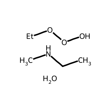 CCNC.CCOOO.O